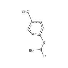 CCN(CC)Sc1ccc(C=O)cc1